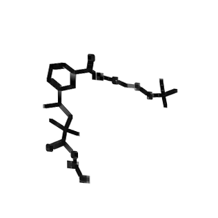 CC(CC(C)(C)C(=O)ONS)c1cccc(C(=O)NCCSSC(C)(C)C)c1